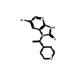 CC(C1CCOCC1)n1c(=O)[nH]c2ncc(Br)cc21